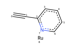 C#Cc1ccccn1.[Ru]